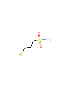 NS(=O)(=O)CCCS